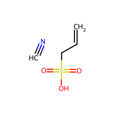 C#N.C=CCS(=O)(=O)O